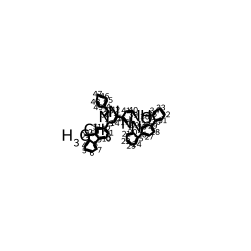 CC1(C)c2ccccc2-c2ccc(-c3cc(C4=NC(n5c6ccccc6c6ccc7c8ccccc8oc7c65)NC=C4)nc(-c4ccccc4)n3)cc21